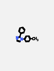 Cc1ccc(-n2ccnc2-c2ccccc2)cc1